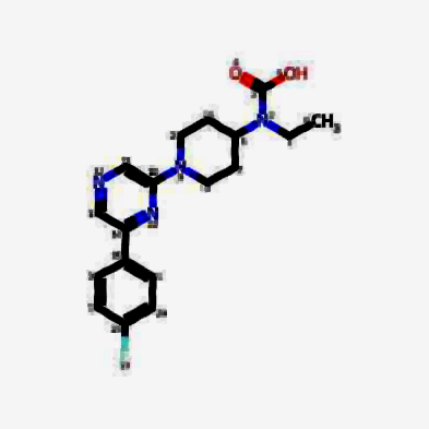 CCN(C(=O)O)C1CCN(c2cncc(-c3ccc(F)cc3)n2)CC1